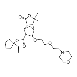 CCC1(OC(=O)C2C3CC(C2OCCOCCN2CCOCC2)C2C3C(=O)OC2(C)C)CCCC1